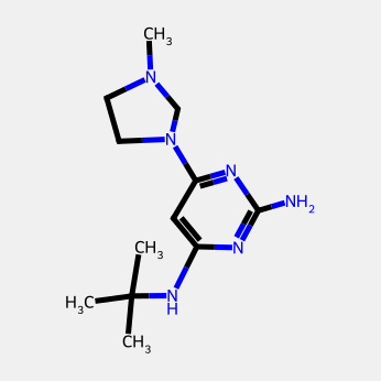 CN1CCN(c2cc(NC(C)(C)C)nc(N)n2)C1